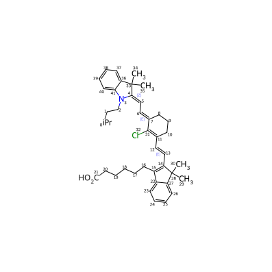 CC(C)CCN1/C(=C\C=C2/CCCC(/C=C/C3=C(CCCCCC(=O)O)c4ccccc4C3(C)C)=C2Cl)C(C)(C)c2ccccc21